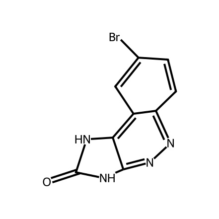 O=c1[nH]c2nnc3ccc(Br)cc3c2[nH]1